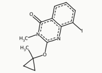 Cn1c(OC2(C)CC2)nc2c(I)cccc2c1=O